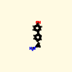 N[C@@H]1C[C@H]1c1ccc(-c2ccc(O)cc2)cc1